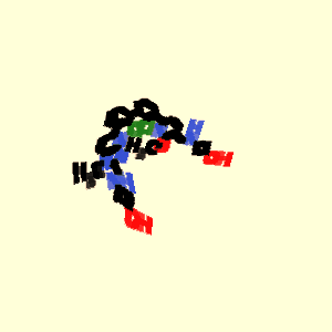 COc1nc(-c2cccc(-c3cccc(-c4ccc5c(n4)nc(CN[C@H]4C[C@@H](O)C4)n5C)c3Cl)c2Cl)ccc1CN[C@H]1C[C@@H](O)C1